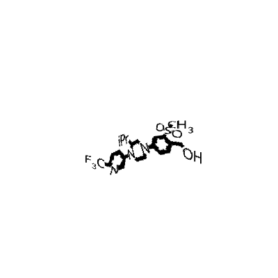 CC(C)C1CN(c2ccc(CO)c(S(C)(=O)=O)c2)CCN1c1ccc(C(F)(F)F)nc1